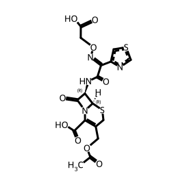 CC(=O)OCC1=C(C(=O)O)N2C(=O)[C@@H](NC(=O)C(=NOCC(=O)O)c3cscn3)[C@H]2SC1